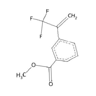 C=C(c1cccc(C(=O)OC)c1)C(F)(F)F